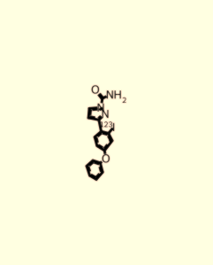 NC(=O)n1ccc(-c2ccc(Oc3ccccc3)cc2[123I])n1